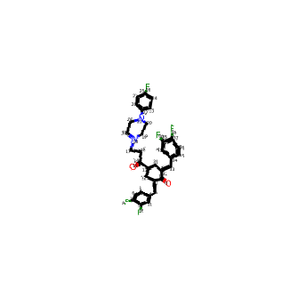 O=C1/C(=C/c2ccc(F)c(F)c2)CC(C(=O)CCN2CCN(c3ccc(F)cc3)CC2)C/C1=C\c1ccc(F)c(F)c1